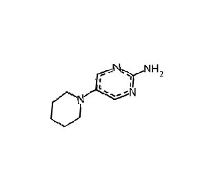 Nc1ncc(N2CCCCC2)cn1